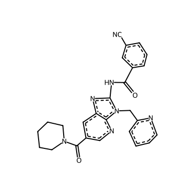 N#Cc1cccc(C(=O)Nc2nc3cc(C(=O)N4CCCCC4)cnc3n2Cc2ccccn2)c1